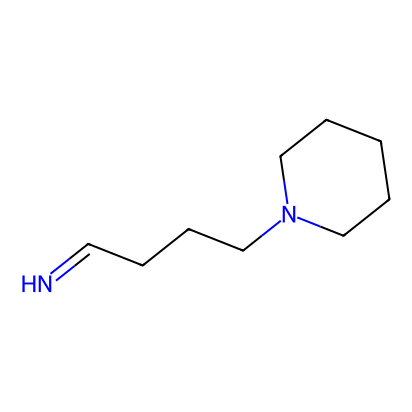 N=CCCCN1CCCCC1